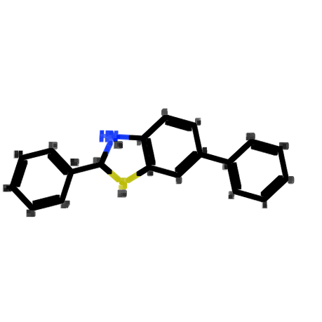 c1ccc(-c2ccc3c(c2)SC(c2ccccc2)N3)cc1